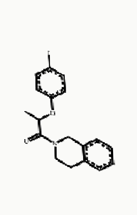 CC(Oc1ccc(F)cc1)C(=O)N1CCc2ccccc2C1